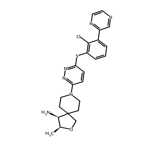 C[C@@H]1OCC2(CCN(c3ccc(Sc4cccc(-c5cnccn5)c4Cl)nn3)CC2)[C@@H]1N